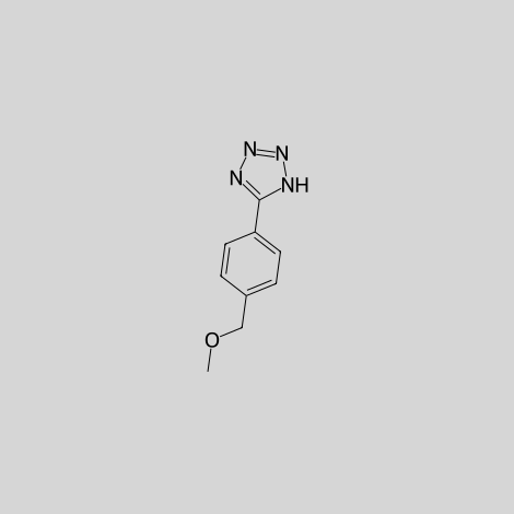 COCc1ccc(-c2nnn[nH]2)cc1